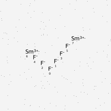 [F-].[F-].[F-].[F-].[F-].[F-].[Sm+3].[Sm+3]